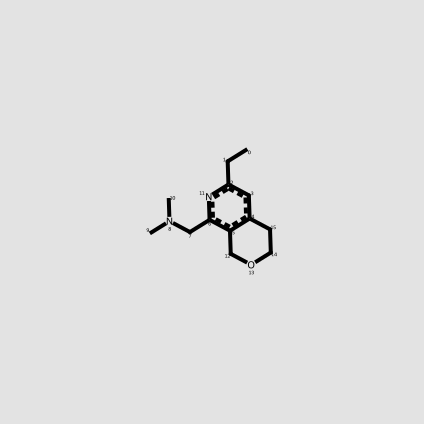 CCc1cc2c(c(CN(C)C)n1)COCC2